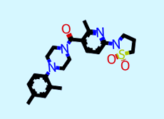 Cc1ccc(N2CCN(C(=O)c3ccc(N4CCCS4(=O)=O)nc3C)CC2)c(C)c1